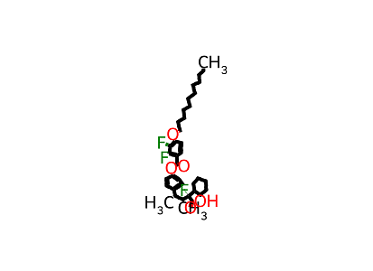 CCCCCCCCCCCCOc1ccc(C(=O)Oc2ccc(C(C)[C@H](C)[C@](F)(C(=O)O)C3CCCCC3)cc2)c(F)c1F